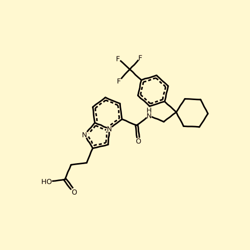 O=C(O)CCc1cn2c(C(=O)NCC3(c4ccc(C(F)(F)F)cc4)CCCCC3)cccc2n1